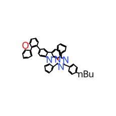 CCCCc1ccc(-c2nc(-c3ccccc3)nc(-c3ccccc3-n3c4ccccc4c4cc(-c5cccc6oc7ccccc7c56)ccc43)n2)cc1